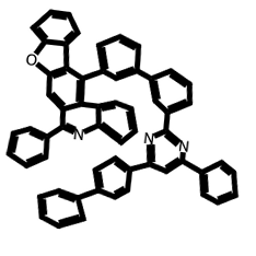 c1ccc(-c2ccc(-c3cc(-c4ccccc4)nc(-c4cccc(-c5cccc(-c6c7c(cc8c(-c9ccccc9)nc9ccccc9c68)oc6ccccc67)c5)c4)n3)cc2)cc1